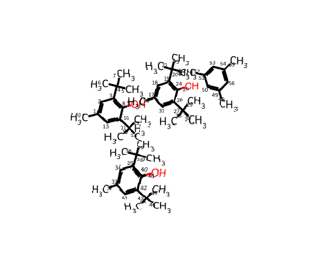 Cc1cc(C(C)(C)C)c(O)c(C(C)(C)C)c1.Cc1cc(C(C)(C)C)c(O)c(C(C)(C)C)c1.Cc1cc(C(C)(C)C)c(O)c(C(C)(C)C)c1.Cc1cc(C)cc(C)c1